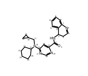 O=C(NC1CC=Nc2ccccc21)c1cc(N(CC2CC2)C2CCCCC2)ncn1